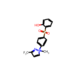 C[N+]1(c2ccc(S(=O)(=O)c3ccccc3O)cc2)C=CC(C(F)(F)F)=N1